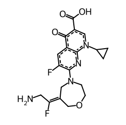 NC/C(F)=C1/COCCN(c2nc3c(cc2F)c(=O)c(C(=O)O)cn3C2CC2)C1